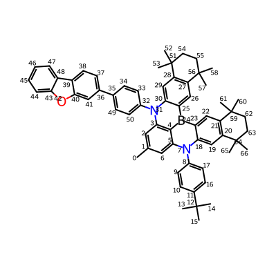 Cc1cc2c3c(c1)N(c1ccc(C(C)(C)C)cc1)c1cc4c(cc1B3c1cc3c(cc1N2c1ccc(-c2ccc5c(c2)oc2ccccc25)cc1)C(C)(C)CCC3(C)C)C(C)(C)CCC4(C)C